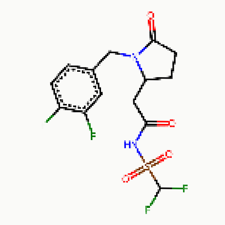 O=C(CC1CCC(=O)N1Cc1ccc(F)c(F)c1)NS(=O)(=O)C(F)F